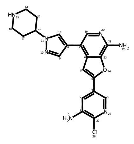 Nc1cc(-c2cc3c(-c4cnn(C5CCNCC5)c4)cnc(N)c3o2)cnc1Cl